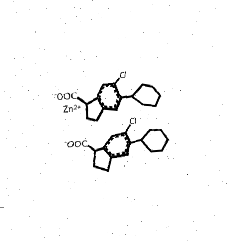 O=C([O-])C1CCc2cc(C3CCCCC3)c(Cl)cc21.O=C([O-])C1CCc2cc(C3CCCCC3)c(Cl)cc21.[Zn+2]